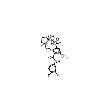 Cn1cc2c(c1C(=O)Nc1ccc(F)c(F)c1)OC[C@H]1CCC[C@@]1(O)NS2(=O)=O